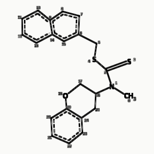 CN(C(=S)SCc1ccc2ccccc2c1)C1COc2ccccc2C1